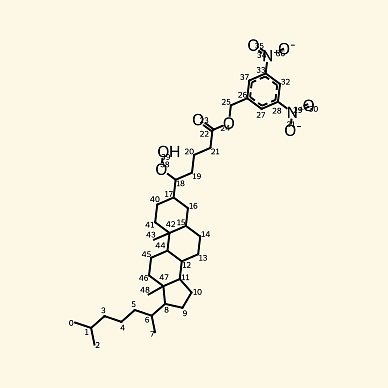 CC(C)CCCC(C)C1CCC2C3CCC4CC(C(CCCC(=O)OCc5cc([N+](=O)[O-])cc([N+](=O)[O-])c5)OO)CCC4(C)C3CCC12C